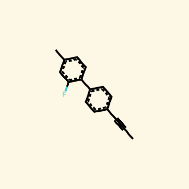 CC#Cc1ccc(-c2ccc(C)cc2F)cc1